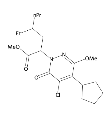 CCCC(CC)CC(C(=O)OC)n1nc(OC)c(C2CCCC2)c(Cl)c1=O